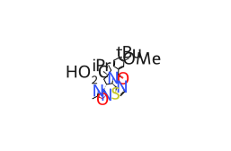 COc1cc(C(=O)N2[C@@H](c3nccs3)[C@H](c3noc(C)n3)C[C@@]2(CC(C)C)C(=O)O)ccc1C(C)(C)C